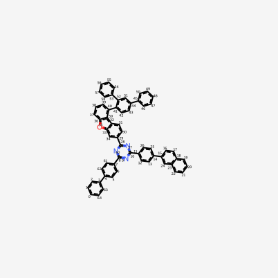 c1ccc(-c2ccc(-c3nc(-c4ccc(-c5ccc6ccccc6c5)cc4)nc(-c4ccc5c(c4)oc4cccc(-c6ccc(-c7ccccc7)cc6-c6ccccc6)c45)n3)cc2)cc1